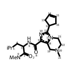 CNC(=O)C(CC(C)C)NC(=O)c1nc(C2CC=CC2)n2c1CN(C)CC2